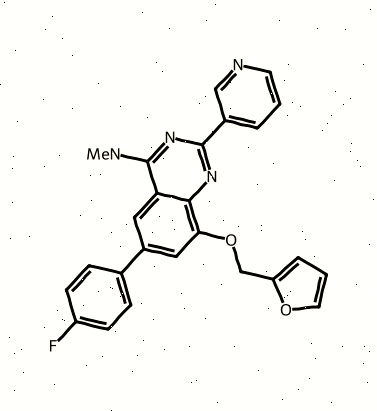 CNc1nc(-c2cccnc2)nc2c(OCc3ccco3)cc(-c3ccc(F)cc3)cc12